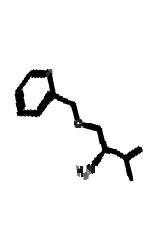 CC(C)[C@@H](N)COCc1ccccn1